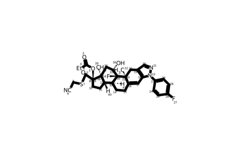 CCC(=O)O[C@]1(C(=O)SCC#N)CC[C@H]2[C@@H]3CCC4=Cc5c(cnn5-c5ccc(F)cc5)C[C@]4(C)[C@@]3(F)[C@@H](O)C[C@@]21C